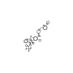 CN(c1cc(F)c(S(=O)(=O)N(OC(=O)C(F)(F)F)c2cscn2)cc1Cl)[C@H]1CCN(Cc2cccc(N3CCC3)n2)C1